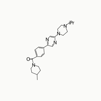 CC1CCN(C(=O)c2ccc(-c3cnc(N4CCN(C(C)C)CC4)cn3)cc2)CC1